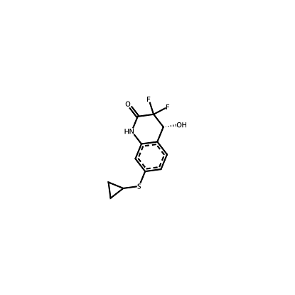 O=C1Nc2cc(SC3CC3)ccc2[C@@H](O)C1(F)F